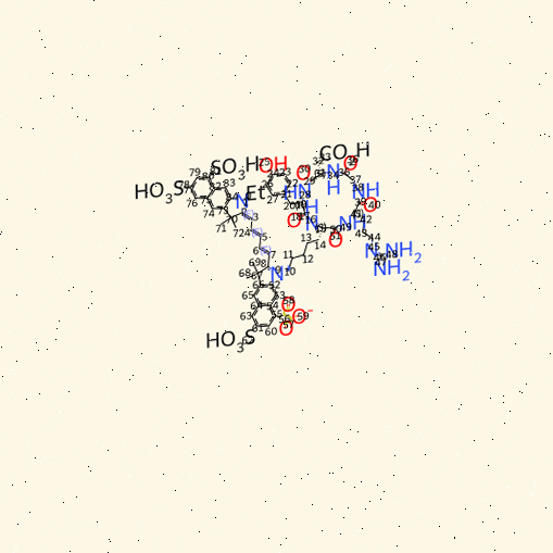 CCN1/C(=C/C=C/C=C/C2=[N+](CCCCC[C@@H]3NC(=O)[C@@H](Cc4ccc(O)cc4)NC(=O)[C@H](CC(=O)O)NC(=O)CNC(=O)[C@H](CCCN=C(N)N)NC3=O)c3cc4c(S(=O)(=O)[O-])cc(S(=O)(=O)O)cc4cc3C2(C)C)C(C)(C)c2cc3cc(S(=O)(=O)O)cc(S(=O)(=O)O)c3cc21